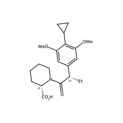 CC[C@H](C(=O)N1CCCC[C@H]1C(=O)O)c1cc(OC)c(C2CC2)c(OC)c1